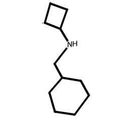 [CH]1CCC1NCC1CCCCC1